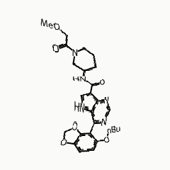 CCCCOc1ccc2c(c1-c1ncnc3c(C(=O)NC4CCCN(C(=O)COC)C4)c[nH]c13)OCO2